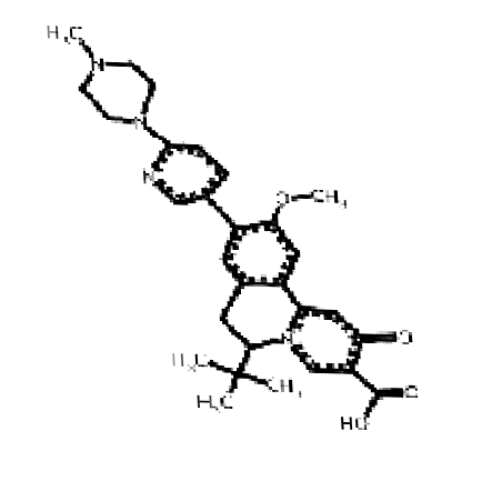 COc1cc2c(cc1-c1ccc(N3CCN(C)CC3)nc1)CC(C(C)(C)C)n1cc(C(=O)O)c(=O)cc1-2